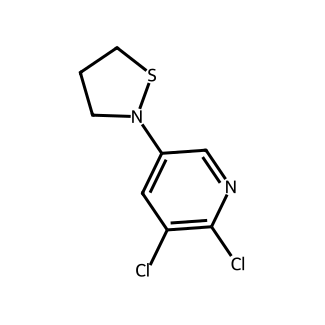 Clc1cc(N2CCCS2)cnc1Cl